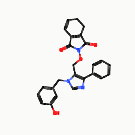 O=C1C2=C(CCC=C2)C(=O)N1OCc1c(-c2ccccc2)ncn1Cc1cccc(O)c1